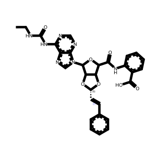 CCNC(=O)Nc1ncnc2c1ncn2C1OC(C(=O)Nc2ccccc2C(=O)O)C2O[C@H](/C=C/c3ccccc3)OC21